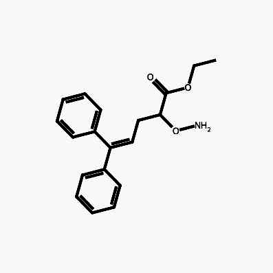 CCOC(=O)C(CC=C(c1ccccc1)c1ccccc1)ON